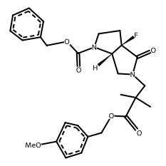 COc1ccc(COC(=O)C(C)(C)CN2C[C@@H]3N(C(=O)OCc4ccccc4)CC[C@]3(F)C2=O)cc1